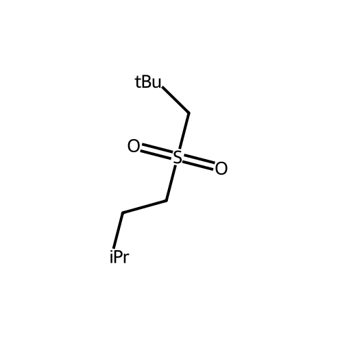 CC(C)CCS(=O)(=O)CC(C)(C)C